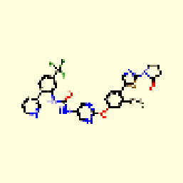 Cc1cc(Oc2ncc(NC(=O)Nc3cc(C(F)(F)F)ccc3-c3cccnc3)cn2)ccc1-c1cnc(N2CCCC2=O)s1